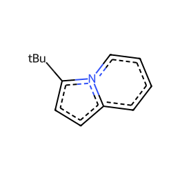 CC(C)(C)c1ccc2ccccn12